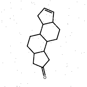 O=C1CC2CCC3C4CC=CC4CCC3C2C1